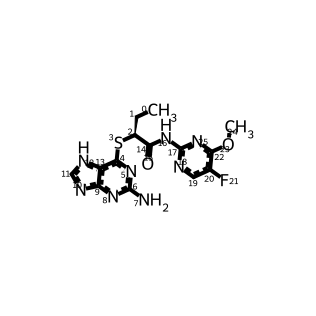 CC[C@H](Sc1nc(N)nc2nc[nH]c12)C(=O)Nc1ncc(F)c(OC)n1